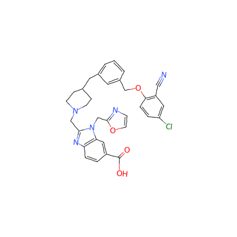 N#Cc1cc(Cl)ccc1OCc1cccc(CC2CCN(Cc3nc4ccc(C(=O)O)cc4n3Cc3ncco3)CC2)c1